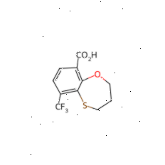 O=C(O)c1ccc(C(F)(F)F)c2c1OCCCS2